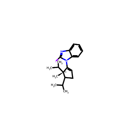 CC(C)C1CC=C(n2c(I)nc3ccccc32)[C@@]1(C)C(C)C